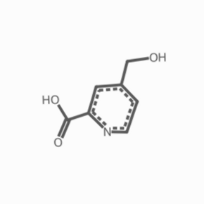 O=C(O)c1cc(CO)ccn1